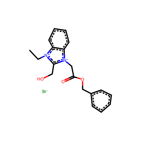 CCn1c(CO)[n+](CC(=O)OCc2ccccc2)c2ccccc21.[Br-]